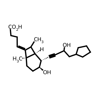 CC1C(=CCCC(=O)O)[C@]2(C)CC[C@H](O)[C@@H](C#CC(O)CC3CCCC3)[C@H]12